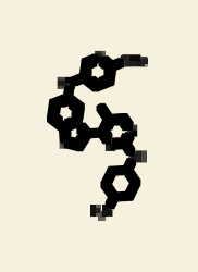 COc1ccc(Nc2ccc3ncc(-c4nc(NC5CCC(N)CC5)ncc4C)n3c2)cn1